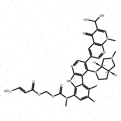 CN1C[C@@H]2CCN(c3c(-c4cnc5c(c4)c(=O)c(C(O)O)cn5C)cnc4[nH]c5c(N(C)C(=O)OCOC(=O)/C=C/C(=O)O)cc(F)c(F)c5c34)[C@@H]2C1